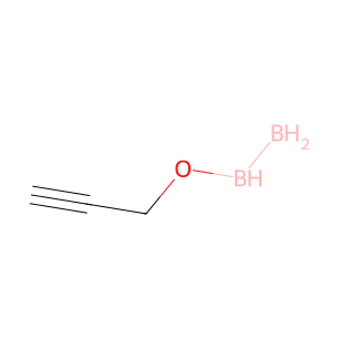 BBOCC#C